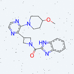 COC1CCN(c2nccnc2C2CN(C(=O)c3nc4ccccc4[nH]3)C2)CC1